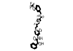 O=C(NCc1cccc(OC(F)(F)F)c1)c1cn(CC(F)CCn2ccc(NC(=O)[C@H](O)c3ccccc3)cc2=O)nn1